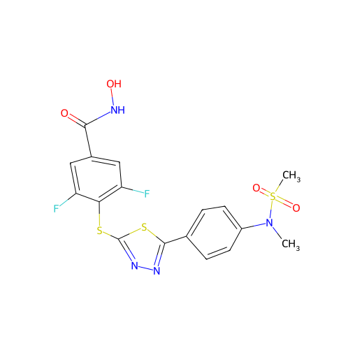 CN(c1ccc(-c2nnc(Sc3c(F)cc(C(=O)NO)cc3F)s2)cc1)S(C)(=O)=O